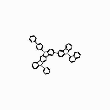 c1ccc(-c2ccc(-n3c4ccc(-c5ccc6c(c5)c5ccccc5n6-c5cccc6ccccc56)cc4c4cc5c(cc43)c3ccccc3n5-c3ccccc3)cc2)cc1